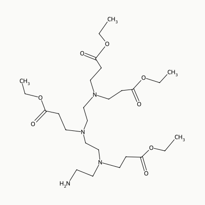 CCOC(=O)CCN(CCN)CCN(CCC(=O)OCC)CCN(CCC(=O)OCC)CCC(=O)OCC